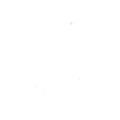 CCC(C)c1ccc(OCc2cc(C)cc3c2OC(C)(C)OC3)cc1